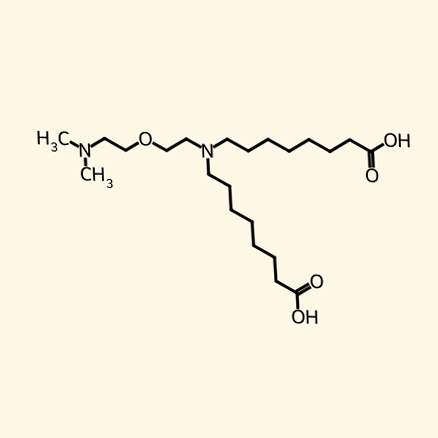 CN(C)CCOCCN(CCCCCCCC(=O)O)CCCCCCCC(=O)O